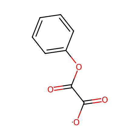 [O]C(=O)C(=O)Oc1ccccc1